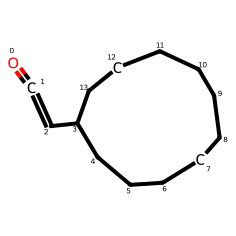 O=C=CC1CCCCCCCCCC1